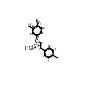 Cc1ccc(CCOc2ccc(F)c(C)c2)cc1.Cl.Cl